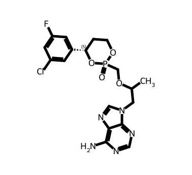 CC(Cn1cnc2c(N)ncnc21)OCP1(=O)OCC[C@@H](c2cc(F)cc(Cl)c2)O1